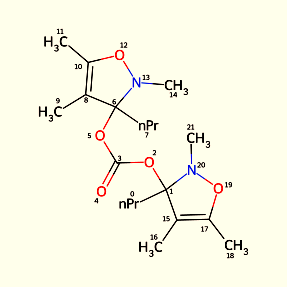 CCCC1(OC(=O)OC2(CCC)C(C)=C(C)ON2C)C(C)=C(C)ON1C